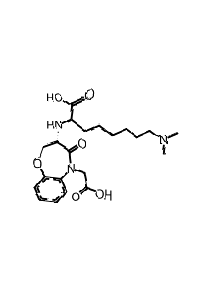 CN(C)CCCCCCC(N[C@H]1COc2ccccc2N(CC(=O)O)C1=O)C(=O)O